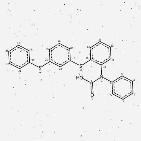 O=C(O)N(c1ccccc1)c1ccccc1Sc1cccc(Sc2ccccc2)c1